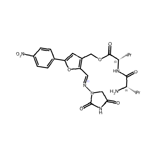 CC(C)[C@H](N)C(=O)N[C@H](C(=O)OCc1cc(-c2ccc([N+](=O)[O-])cc2)oc1/C=N/N1CC(=O)NC1=O)C(C)C